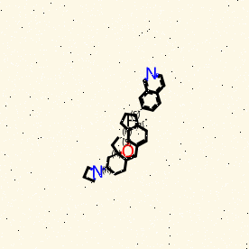 C[C@]12CC=C3C=C4CC[C@@H](N5CCC5)C[C@]45CC[C@]3(O5)[C@@H]1CC[C@@H]2c1ccc2ccncc2c1